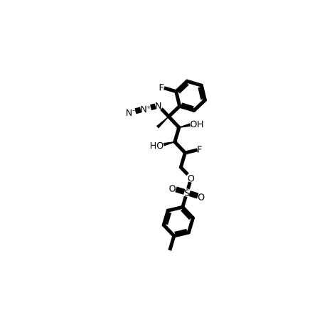 Cc1ccc(S(=O)(=O)OCC(F)[C@@H](O)[C@H](O)[C@](C)(N=[N+]=[N-])c2ccccc2F)cc1